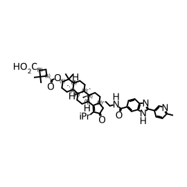 Cc1ccc(-c2nc3ccc(C(=O)NCC[C@@]45CC[C@]6(C)[C@H](CC[C@@H]7[C@@]8(C)CC[C@H](OC(=O)[C@H]9C[C@@H](C(=O)O)C9(C)C)C(C)(C)[C@@H]8CC[C@]76C)C4=C(C(C)C)C(=O)C5)cc3[nH]2)cn1